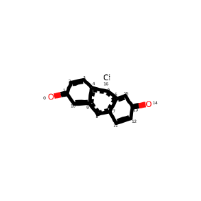 O=C1C=Cc2cc3c(cc2=C1)C=CC(=O)C=3.[C]